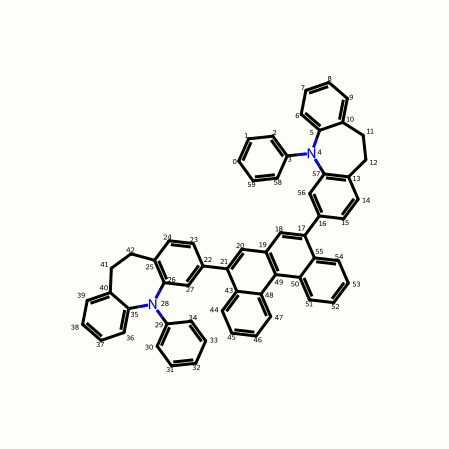 c1ccc(N2c3ccccc3CCc3ccc(-c4cc5cc(-c6ccc7c(c6)N(c6ccccc6)c6ccccc6CC7)c6ccccc6c5c5ccccc45)cc32)cc1